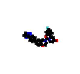 O=C1CCN(C(=O)N2CCOc3ccc(-c4ccc(-c5ncc[nH]5)cc4)cc3C2)[C@@H](c2ccc(F)cc2)C1